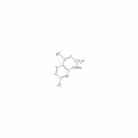 COc1nc(Cl)ccc1/C(=C\C(=O)O)C(C)C